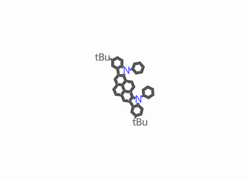 CC(C)(C)c1ccc2c(c1)c1cc3ccc4cc5c6cc(C(C)(C)C)ccc6n(-c6ccccc6)c5c5ccc(c3c45)c1n2-c1ccccc1